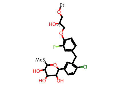 CCOC[C@H](O)COc1ccc(Cc2cc(C3OC(SC)C(O)C(O)C3O)ccc2Cl)cc1F